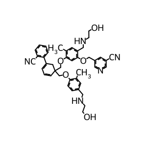 Cc1cc(CNCCO)ccc1OCC1(COc2cc(OCc3cncc(C#N)c3)c(CNCCO)cc2C)C=CC=C(c2ccccc2C#N)C1